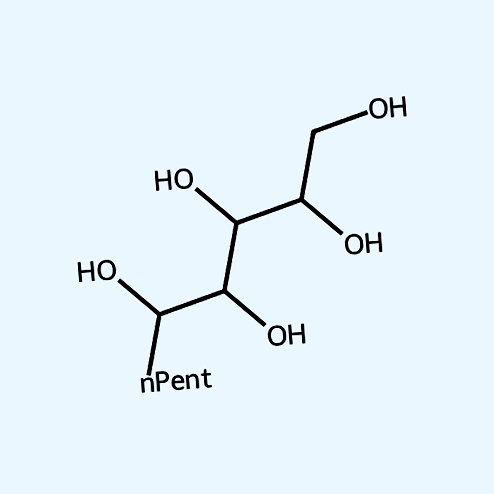 CCCCCC(O)C(O)C(O)C(O)CO